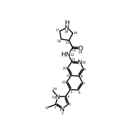 Cc1ncc(-c2ccc3cnc(NC(=O)C4CCNC4)cc3c2)n1C